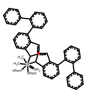 CCCC[CH2][Hf]([CH3])([CH3])(=[SiH2])([CH2]CCCC)([CH]1C=Cc2c(-c3ccccc3-c3ccccc3)cccc21)[CH]1C=Cc2c(-c3ccccc3-c3ccccc3)cccc21